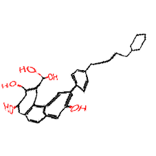 Oc1cc2ccc3c(c2cc1-c1ccc(CCCCC2CCCCC2)cc1)C(C(O)O)C(O)C3O